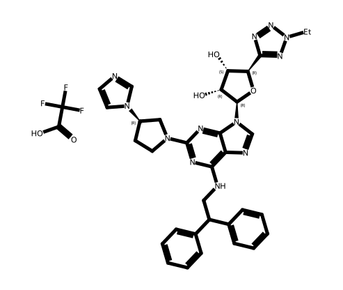 CCn1nnc([C@H]2O[C@@H](n3cnc4c(NCC(c5ccccc5)c5ccccc5)nc(N5CC[C@@H](n6ccnc6)C5)nc43)[C@H](O)[C@@H]2O)n1.O=C(O)C(F)(F)F